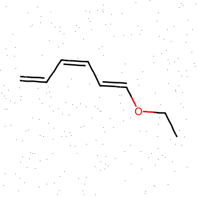 C=C/C=C\C=C\OCC